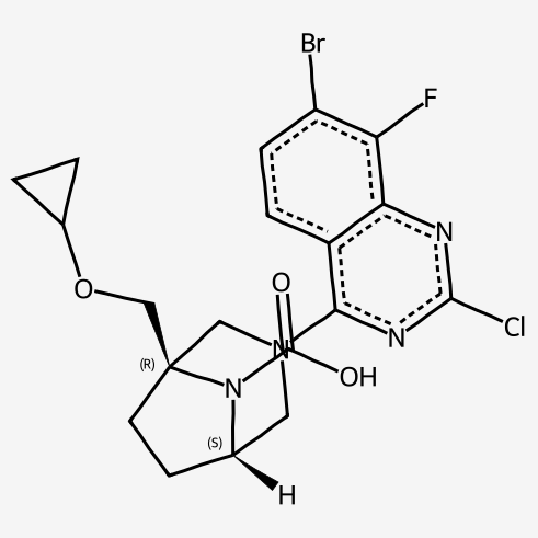 O=C(O)N1[C@H]2CC[C@]1(COC1CC1)CN(c1nc(Cl)nc3c(F)c(Br)ccc13)C2